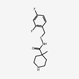 CC1(C(=O)NSCc2ccc(F)cc2F)CCNCC1